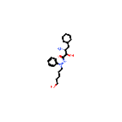 N[C@H](CC1CCCCC1)C(O)C(=O)NN(CCCCCO)c1ccccc1